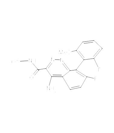 CCCNC(=O)c1nnc2c(-c3c(F)cccc3OC)c(F)ccc2c1N